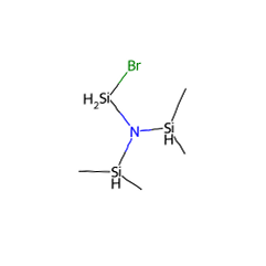 C[SiH](C)N([SiH2]Br)[SiH](C)C